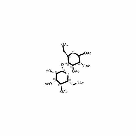 CC(=O)OC[C@H]1O[C@@H](O[C@H]2[C@H](OC(C)=O)[C@@H](OC(C)=O)C(OC(C)=O)O[C@@H]2COC(C)=O)[C@@H](O)[C@@H](OC(C)=O)[C@@H]1OC(C)=O